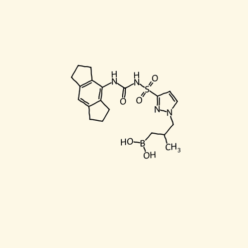 CC(CB(O)O)Cn1ccc(S(=O)(=O)NC(=O)Nc2c3c(cc4c2CCC4)CCC3)n1